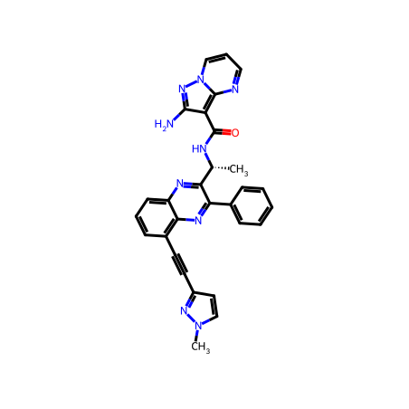 C[C@@H](NC(=O)c1c(N)nn2cccnc12)c1nc2cccc(C#Cc3ccn(C)n3)c2nc1-c1ccccc1